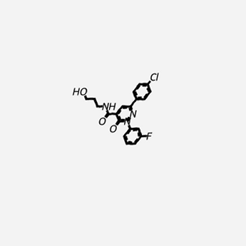 O=C(NCCCO)c1cc(-c2ccc(Cl)cc2)nn(-c2cccc(F)c2)c1=O